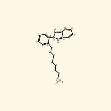 CCCCCCCCc1cc[c]cc1-n1nc2ccccc2n1